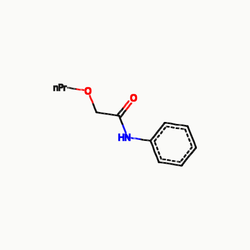 CCCOCC(=O)Nc1ccccc1